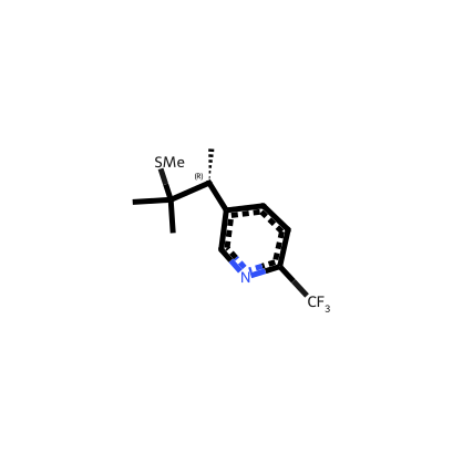 CSC(C)(C)[C@H](C)c1ccc(C(F)(F)F)nc1